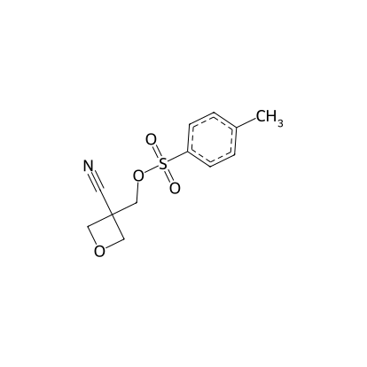 Cc1ccc(S(=O)(=O)OCC2(C#N)COC2)cc1